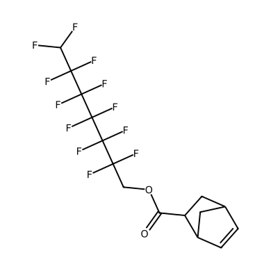 O=C(OCC(F)(F)C(F)(F)C(F)(F)C(F)(F)C(F)(F)C(F)F)C1CC2C=CC1C2